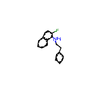 Fc1ccc2ccccc2c1NCCc1ccccc1